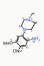 COc1cc(N2CCN(C)CC2)c(N)cc1N=O